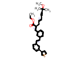 CCOC(=O)/C(=C/c1cccc(/C=C/c2cccc(-c3ccsc3)c2)c1)C/C=C/C#CC(C)(C)OC